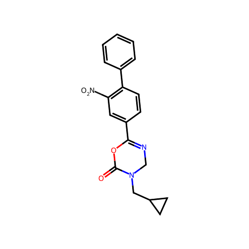 O=C1OC(c2ccc(-c3ccccc3)c([N+](=O)[O-])c2)=NCN1CC1CC1